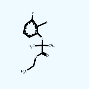 CCOC(=O)C(C)(C)Sc1cccc(F)c1F